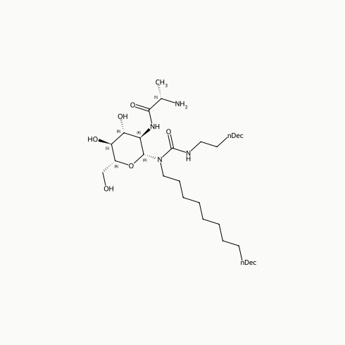 CCCCCCCCCCCCCCCCCCN(C(=O)NCCCCCCCCCCCC)[C@@H]1O[C@H](CO)[C@@H](O)[C@H](O)[C@H]1NC(=O)[C@H](C)N